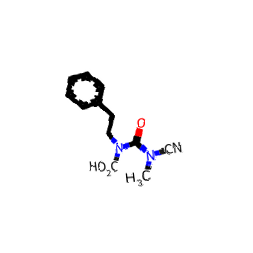 CN(C#N)C(=O)N(CCc1ccccc1)C(=O)O